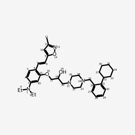 CCN(CC)c1ccc(/C=C/c2cc(C)no2)c(OCC(O)CN2CCN(Cc3ccccc3C3CCCCC3)CC2)c1